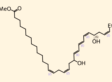 CC/C=C\C[C@H](O)\C=C/C=C/C=C/C(O)C/C=C\C/C=C\CCCCCCCCCCCCC(=O)OC